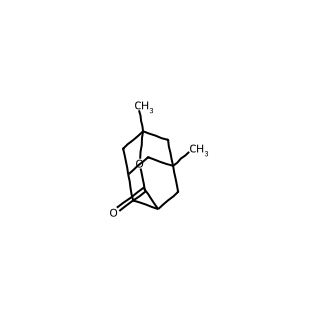 CC12CC3CC(C1)C(=O)OC(C)(C3)C2